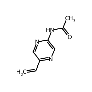 C=Cc1cnc(NC(C)=O)cn1